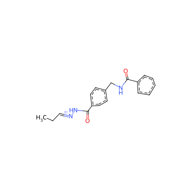 CC/C=N/NC(=O)c1ccc(CNC(=O)c2ccccc2)cc1